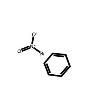 O=[N+]([O-])Br.c1ccccc1